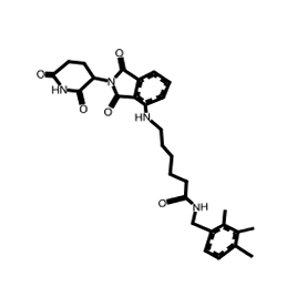 Cc1ccc(CNC(=O)CCCCCNc2cccc3c2C(=O)N(C2CCC(=O)NC2=O)C3=O)c(C)c1C